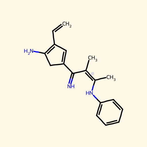 C=CC1=C(N)CC(C(=N)/C(C)=C(/C)Nc2ccccc2)=C1